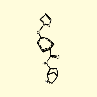 O=C(NC1CC2CNC1C2)c1ccc(ON2CC=CS2)cc1